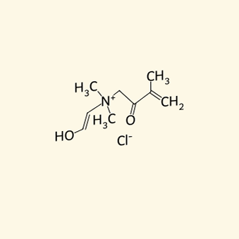 C=C(C)C(=O)C[N+](C)(C)C=CO.[Cl-]